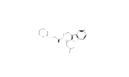 CC(C)CC1c2[nH]c3ccc(Cl)cc3c2CCN1C(=O)CNC1CCCCC1